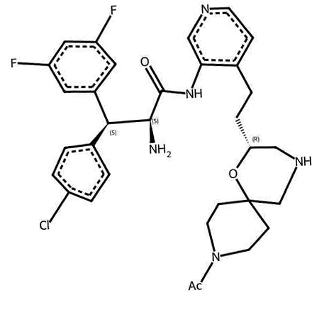 CC(=O)N1CCC2(CC1)CNC[C@@H](CCc1ccncc1NC(=O)[C@@H](N)[C@@H](c1ccc(Cl)cc1)c1cc(F)cc(F)c1)O2